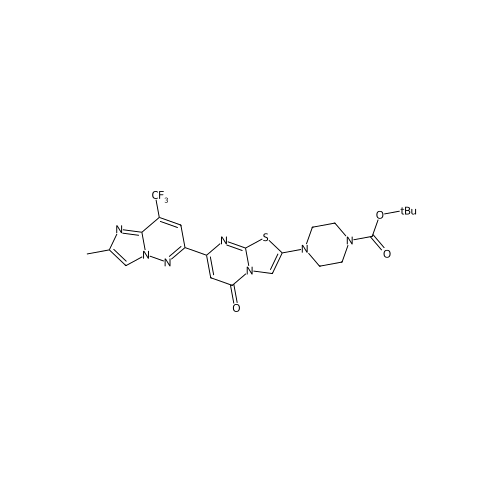 Cc1cn2nc(-c3cc(=O)n4cc(N5CCN(C(=O)OC(C)(C)C)CC5)sc4n3)cc(C(F)(F)F)c2n1